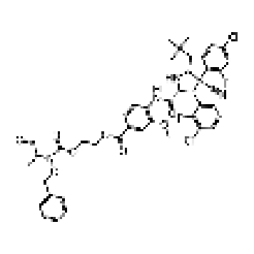 COc1cc(C(=O)OCCOC(=O)N(OCc2ccccc2)C(C)C=O)ccc1NC(=O)[C@@H]1N[C@@H](CC(C)(C)C)[C@](C#N)(c2ccc(Cl)cc2F)[C@H]1c1cccc(Cl)c1F